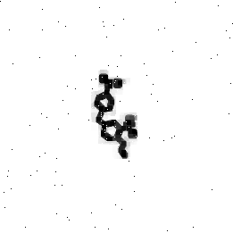 C=CCc1ccc(Cc2ccc([N+](=O)[O-])cc2)cc1[N+](=O)[O-]